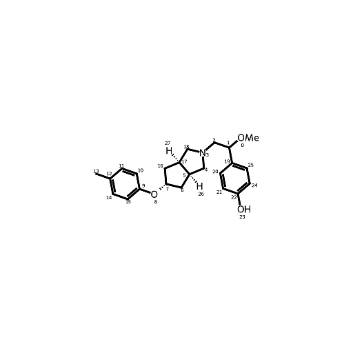 COC(CN1C[C@H]2C[C@H](Oc3ccc(C)cc3)C[C@H]2C1)c1ccc(O)cc1